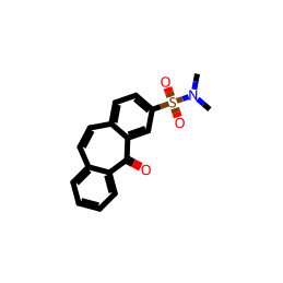 CN(C)S(=O)(=O)c1ccc2ccc3ccccc3c(=O)c2c1